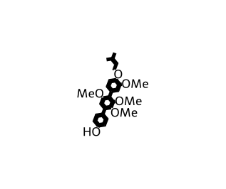 COc1cc(-c2c(OC)cc(-c3ccc(O)cc3)c(OC)c2OC)ccc1OCC=C(C)C